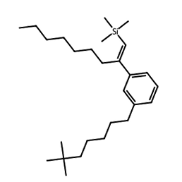 CCCCCCC/C(=C\[Si](C)(C)C)c1cccc(CCCCCC(C)(C)C)c1